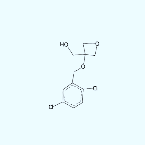 OCC1(OCc2cc(Cl)ccc2Cl)COC1